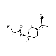 CC(C)OC(=O)NC1(C)CCN([C@H](C)S)CC1